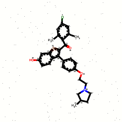 Cc1cc(Cl)cc(C)c1C(=O)c1sc2cc(O)ccc2c1-c1ccc(OCCN2CCC(C)C2)cc1